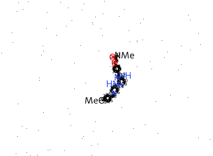 CNC(=O)COc1ccc(-c2nc3c(NC4CCN(Cc5ccc(OC)cc5)CC4)nccc3[nH]2)cc1